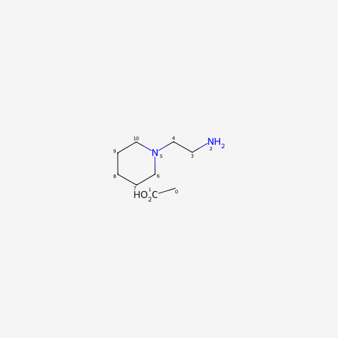 CC(=O)O.NCCN1CCCCC1